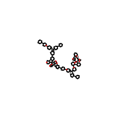 c1ccc(-c2ccc(-c3ccc(N(c4ccc(-c5ccccc5)cc4)c4ccc(-c5ccc6c(c5)-c5ccccc5C65c6ccccc6-n6c7ccc(-c8ccc(-c9ccc(N(c%10cccc(-c%11ccccc%11)c%10)c%10cccc(-c%11cccc%12c%11-c%11ccccc%11C%12%11c%12ccccc%12-n%12c%13ccccc%13c%13cccc%11c%13%12)c%10)cc9)cc8)cc7c7cccc5c76)cc4)cc3)cc2)cc1